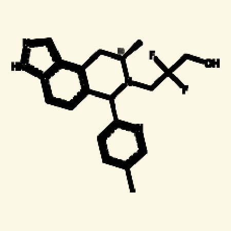 Cc1ccc(C2c3ccc4[nH]ncc4c3C[C@@H](C)N2CC(F)(F)CO)nc1